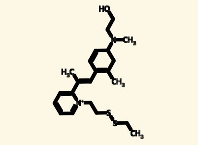 CCSSCC[n+]1ccccc1/C(C)=C/C1=C(C)CC(N(C)CCO)C=C1